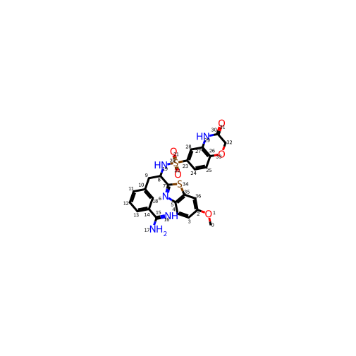 COc1ccc2nc(C(Cc3cccc(C(=N)N)c3)NS(=O)(=O)c3ccc4c(c3)NC(=O)CO4)sc2c1